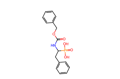 O=C(NC(Cc1ccccc1)P(=O)(O)O)OCc1ccccc1